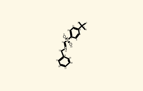 CC(C)(C)c1ccc(S(=O)(=O)/C=N/Cc2ccccc2)cc1